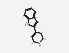 C1=C(c2cc3ccccc3[nH]2)CC[N]C1